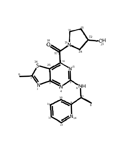 Cc1nc2nc(NC(C)c3ccccn3)nc(C(=O)N3CCC(O)C3)c2s1